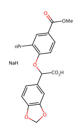 CCCc1cc(C(=O)OC)ccc1OC(C(=O)O)c1ccc2c(c1)OCO2.[NaH]